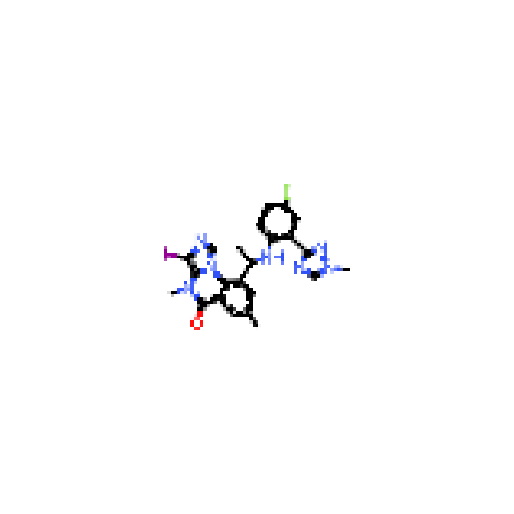 Cc1cc(C(C)Nc2ccc(F)cc2-c2ncn(C)n2)c2c(c1)c(=O)n(C)c1c(I)ncn21